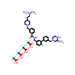 C[C@H]1CN(Cc2cccc(-c3cc(CNC(=O)c4cccc(CN5CCC(CCN(C)C)CC5)c4)ccc3F)c2)CCN1.O=C(O)C(F)(F)F.O=C(O)C(F)(F)F.O=C(O)C(F)(F)F.O=C(O)C(F)(F)F